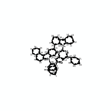 c1ccc(-c2cc3nc(-n4c5ccccc5c5cccc(-c6ccc7c(c6)c6c8ccccc8ccc6n7-c6ccccc6)c54)nc(-c4ccccc4)c3s2)cc1